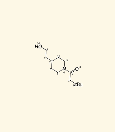 CC(C)(C)CC(=O)N1CCC(CCO)CC1